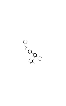 CN1CCN(c2ccc(-c3ccc(NC(=O)CC4CCOCC4)cc3)c(F)c2Nc2ncnc(Cl)c2N)CC1